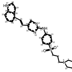 O=S(=O)(CCCN1CCCC1)c1ccc(Nc2ncc(C=Cc3cccc4[nH]ccc34)cn2)cc1